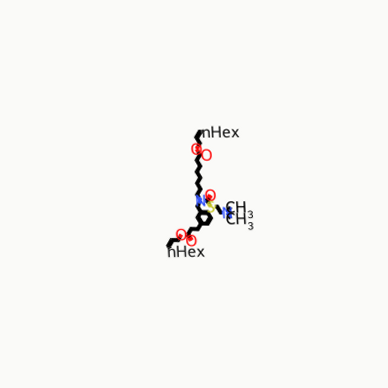 CCCCCC/C=C\COC(=O)CCCCCCCN(Cc1cccc(CCC(=O)OC/C=C\CCCCCC)c1)C(=O)SCCN(C)C